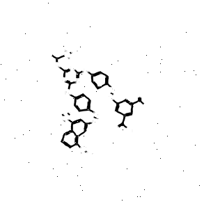 CC(Nc1nc(Nc2ccc(N=Nc3cc(C(=O)O)cc(C(=O)O)c3)cc2)nc(Nc2ccc(N=Nc3cc(S(=O)(=O)O)c4cccc(S(=O)(=O)O)c4c3)cc2)n1)S(=O)(=O)O